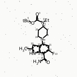 CCN(C(=O)OC(C)(C)C)C1CCN(c2cc(F)c(C(N)=O)c3[nH]c(C)cc23)CC1